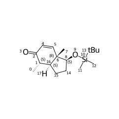 C[C@@H]1C(=O)C=C[C@]2(C)[C@@H](O[Si](C)(C)C(C)(C)C)CC[C@@H]12